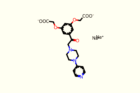 O=C([O-])COc1cc(OCC(=O)[O-])cc(C(=O)CN2CCN(c3ccncc3)CC2)c1.[Na+].[Na+]